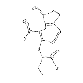 CCC(Oc1ccc2c(c1[N+](=O)[O-])C(=O)CC2)C(=O)O